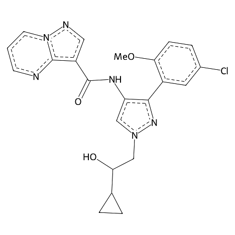 COc1ccc(Cl)cc1-c1nn(CC(O)C2CC2)cc1NC(=O)c1cnn2cccnc12